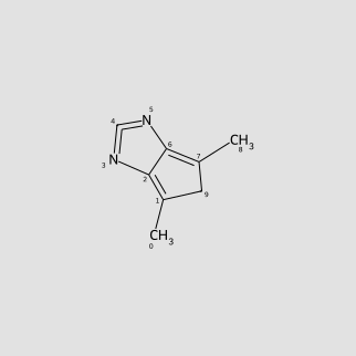 CC1=C2N=C=NC2=C(C)C1